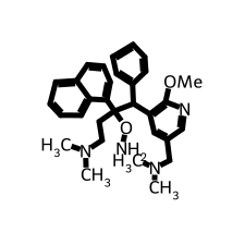 COc1ncc(CN(C)C)cc1C(c1ccccc1)C(CCN(C)C)(ON)c1cccc2ccccc12